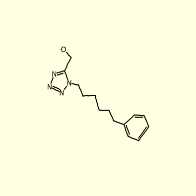 [O]Cc1nnnn1CCCCCCc1ccccc1